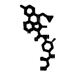 Cc1ccc(OCC2CC2)c(-c2ncnc3c(C(=O)N[C@@H]4CC[C@@H](NC(=O)CO)C[C@H]4C)c(C)[nH]c23)c1